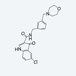 O=C(NCc1cccc(CN2CCOCC2)c1)c1c[nH]c2ccc(Cl)cc2c1=O